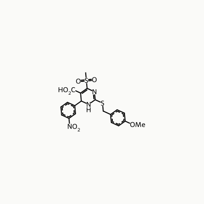 COc1ccc(CSC2=NC(S(C)(=O)=O)=C(C(=O)O)C(c3cccc([N+](=O)[O-])c3)N2)cc1